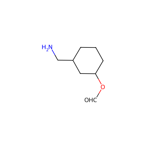 NCC1CCCC(OC=O)C1